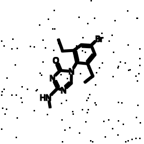 CCc1cc(Br)cc(CC)c1-n1cnc(NC)nc1=O